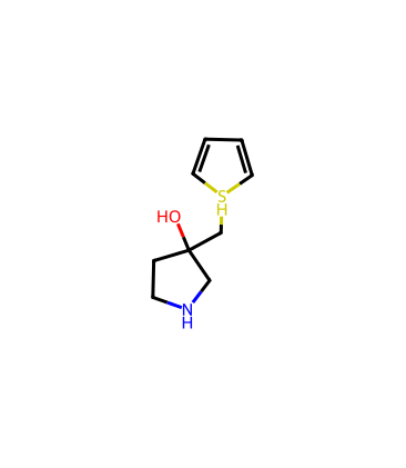 OC1(C[SH]2C=CC=C2)CCNC1